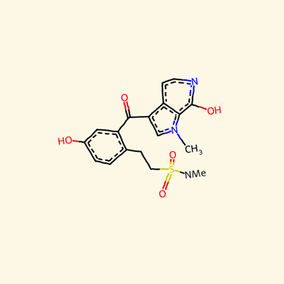 CNS(=O)(=O)CCc1ccc(O)cc1C(=O)c1cn(C)c2c(O)nccc12